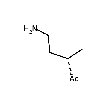 CC(=O)[C@@H](C)CCN